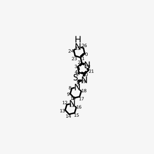 C1=C(c2cc3sc(N4CCC(N5CCCCC5)CC4)nc3cn2)CCNC1